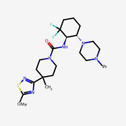 COc1nc(C2(C)CCN(C(=O)N[C@@H]3[C@@H](N4CCN(C(C)C)CC4)CCCC3(F)F)CC2)ns1